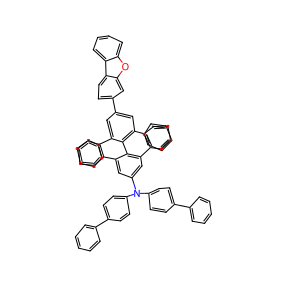 c1ccc(-c2ccc(N(c3ccc(-c4ccccc4)cc3)c3cc(-c4ccccc4)c(-c4c(-c5ccccc5)cc(-c5ccc6c(c5)oc5ccccc56)cc4-c4ccccc4)c(-c4ccccc4)c3)cc2)cc1